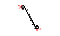 CC1=C(/C=C/C(C)=C/C=C/C(C)=C/C=C/C=C(C)/C=C/C=C(C)/C=C/C2=C(C)C(=O)[C@@H](O)CC2(C)C)C(C)(C)C(O)[C@H](O)C1